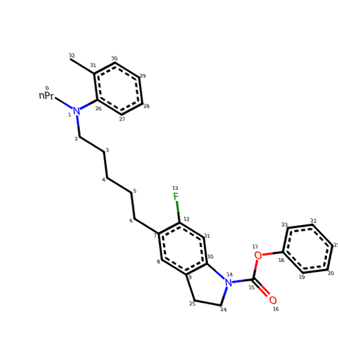 CCCN(CCCCCc1cc2c(cc1F)N(C(=O)Oc1ccccc1)CC2)c1ccccc1C